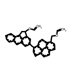 C=COCc1ccc2ccc3ccc(-c4cc5c6c(c7ccccc7cc6c4)CC5OC=C)c4ccc1c2c34